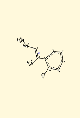 NN/C=C(\N)c1ccccc1Cl